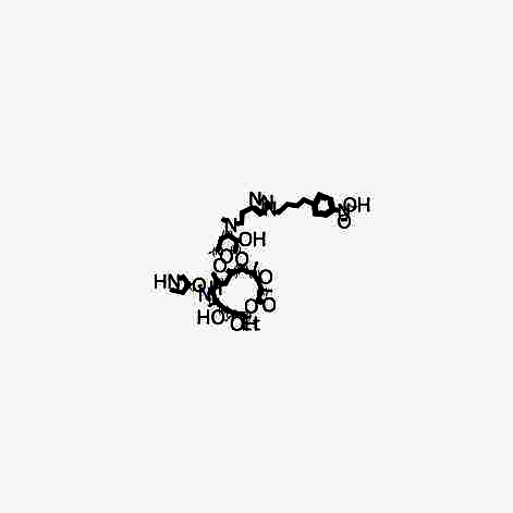 CC[C@H]1OC(=O)[C@H](C)C(=O)[C@H](C)[C@@H](O[C@@H]2O[C@H](C)C[C@H](N(C)CCc3cn(CCCCc4ccc([N+](=O)O)cc4)nn3)C2O)[C@@]2(C)C[C@@H](CO2)/C(=N\O[C@@H]2CCNC2)[C@H](C)[C@@H](O)[C@]1(C)O